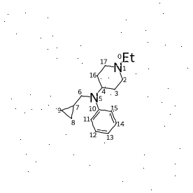 CCN1CCC(N(CC2CC2)c2ccccc2)CC1